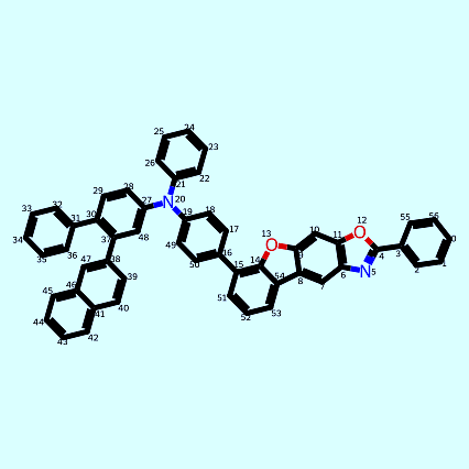 c1ccc(-c2nc3cc4c(cc3o2)oc2c(-c3ccc(N(c5ccccc5)c5ccc(-c6ccccc6)c(-c6ccc7ccccc7c6)c5)cc3)cccc24)cc1